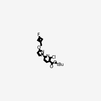 CC(C)(C)OC(=O)c1ccc(-n2ccc(OCC34CC(F)(C3)C4)n2)nc1Cl